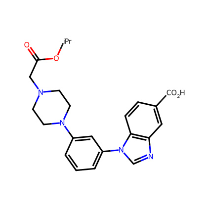 CC(C)OC(=O)CN1CCN(c2cccc(-n3cnc4cc(C(=O)O)ccc43)c2)CC1